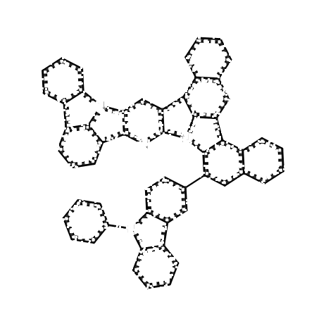 c1ccc(-n2c3ccccc3c3cc(-c4cc5ccccc5c5c6cc7ccccc7c7c8cc9c(nc8n(c45)c67)c4cccc5c6ccccc6n9c54)ccc32)cc1